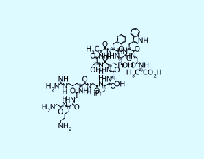 CC(C)C[C@H](NC(=O)CNC(=O)[C@H](CCCNC(=N)N)NC(=O)CNC(=O)[C@H](CCCCN)NC(=O)CN)C(=O)N[C@@H](CO)C(=O)N[C@@H](CC(C)C)C(=O)N[C@@H](CO)C(=O)N[C@@H](C)C(=O)N[C@@H](Cc1ccccc1)C(=O)N[C@@H](CO)C(=O)N[C@@H](Cc1c[nH]c2ccccc12)C(=O)NCC(=O)N[C@@H](C)C(=O)O